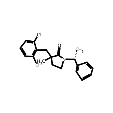 C[C@H](c1ccccc1)N1CCC(C)(Cc2c(Cl)cccc2Cl)C1=O